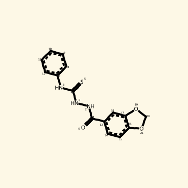 O=C(NNC(=S)Nc1ccccc1)c1ccc2c(c1)OCO2